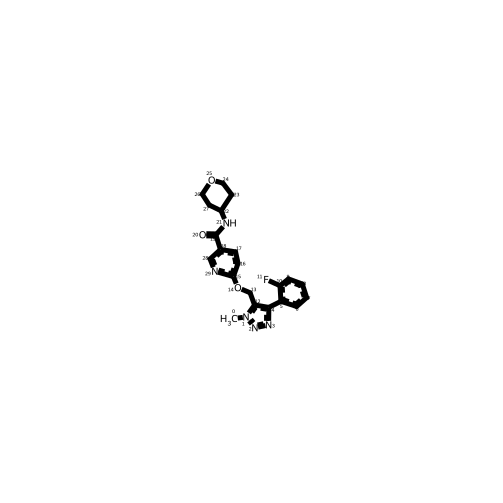 Cn1nnc(-c2ccccc2F)c1COc1ccc(C(=O)NC2CCOCC2)cn1